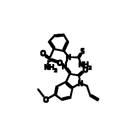 C=CCN1C(=O)/C(=N\N(C(N)=S)c2ccccc2S(N)(=O)=O)c2cc(OC)ccc21